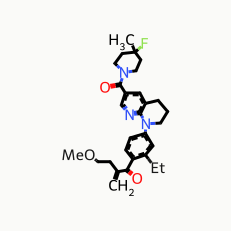 C=C(CCOC)C(=O)c1ccc(N2CCCc3cc(C(=O)N4CCC(C)(F)CC4)cnc32)cc1CC